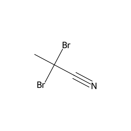 CC(Br)(Br)C#N